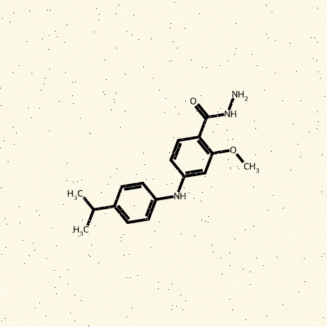 COc1cc(Nc2ccc(C(C)C)cc2)ccc1C(=O)NN